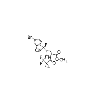 COC(=O)[C@@H]1CC(C(F)(F)c2ccc(Br)cc2Cl)CN1C(=O)C1(C(F)(F)F)CC1